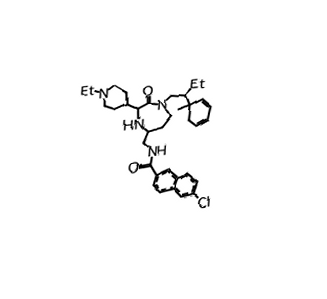 CC[C@H](CN1CCC(CNC(=O)c2ccc3cc(Cl)ccc3c2)NC(C2CCN(CC)CC2)C1=O)C1(C)C=CC=CC1